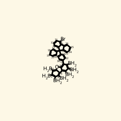 Bc1c(B)c(B)c2c(oc3c(-c4ccc(C5(c6ccccc6)c6ccccc6-c6c(Br)cccc65)cc4)c(B)c(B)c(B)c32)c1B